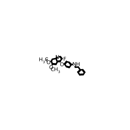 COC1=Cc2c(Oc3ccc(NCCc4ccccc4)cc3F)ccnc2CC1OC